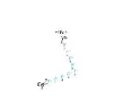 [F-].[F-].[F-].[F-].[F-].[F-].[F-].[F-].[F-].[Gd+3].[Ho+3].[Y+3]